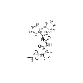 CC(C)(C)OC(=O)N1CCCC1C(=O)Nc1nc(-c2ccccc2)c(-c2ccccc2)o1